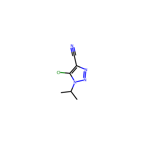 CC(C)n1nnc(C#N)c1Cl